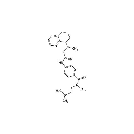 CN(C)CCN(C)C(=O)c1ccc2[nH]c(CN(C)C3CCCc4cccnc43)nc2c1